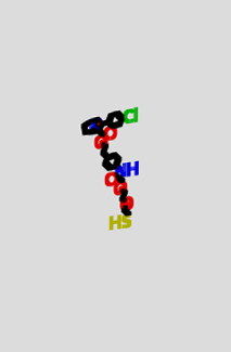 CN1C2CCC1C(C(=O)OCCc1ccc(NC(=O)COCCOCCS)cc1)C(c1ccc(Cl)cc1)C2